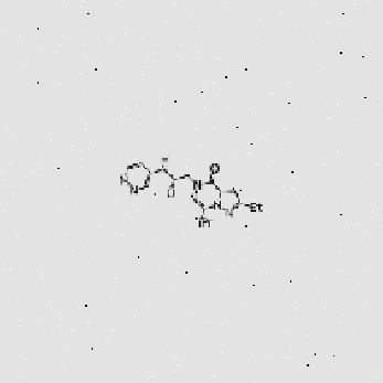 CCc1cc2c(=O)n(CC(=O)Nc3ccnnc3)nc(C(C)C)n2n1